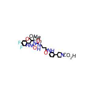 COC(=O)C1=C(C)N(C(=O)NCCCC(=O)Nc2cccc(C3CCN(C(=O)O)CC3)c2)C(=O)NC1c1ccc(F)c(F)c1